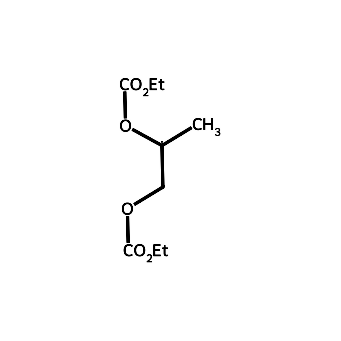 CCOC(=O)OC[C](C)OC(=O)OCC